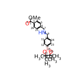 COC(=O)c1ccc(CNCc2ccc(B3OC(C)(C)C(C)(C)O3)cc2)cc1